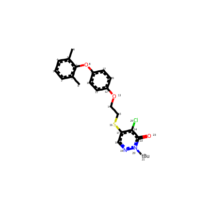 Cc1cccc(C)c1Oc1ccc(OCCSc2cnn(C(C)(C)C)c(=O)c2Cl)cc1